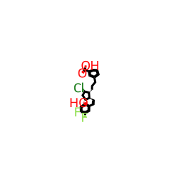 O=C(O)c1cccc(CCC[C@@H]2[C@@H](/C=C\c3ccc(F)c(F)c3)[C@H](O)C[C@H]2Cl)c1